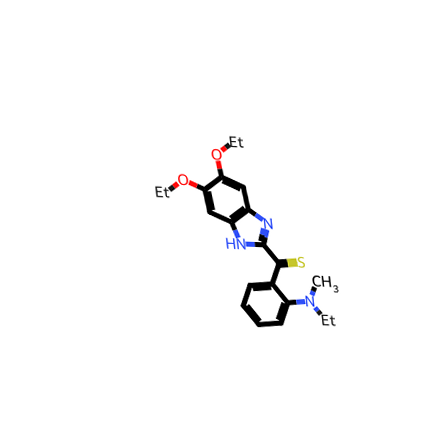 CCOc1cc2nc(C(=S)c3ccccc3N(C)CC)[nH]c2cc1OCC